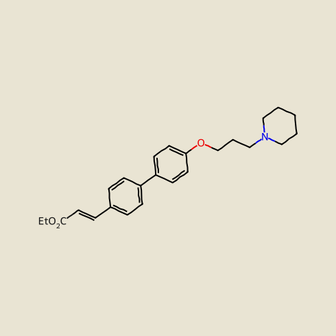 CCOC(=O)C=Cc1ccc(-c2ccc(OCCCN3CCCCC3)cc2)cc1